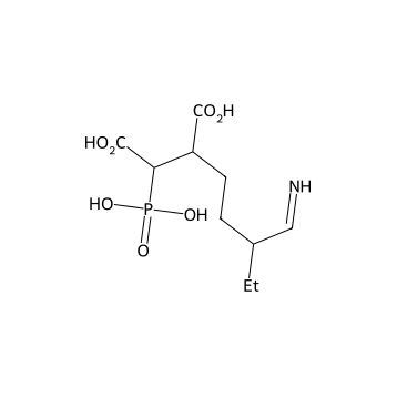 CCC(C=N)CCC(C(=O)O)C(C(=O)O)P(=O)(O)O